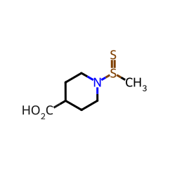 CS(=S)N1CCC(C(=O)O)CC1